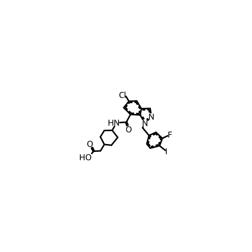 O=C(O)CC1CCC(NC(=O)c2cc(Cl)cc3cnn(Cc4ccc(I)c(F)c4)c23)CC1